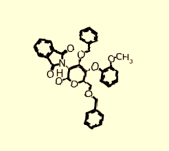 COc1ccccc1O[C@H]1[C@H](OCc2ccccc2)[C@@H](N2C(=O)c3ccccc3C2=O)[C@H](O)O[C@@H]1COCc1ccccc1